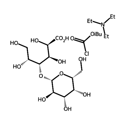 CC(C)COC(=O)Cl.CCN(CC)CC.O=C(O)[C@H](O)[C@@H](O)[C@H](O[C@@H]1O[C@H](CO)[C@H](O)[C@H](O)[C@H]1O)[C@H](O)CO